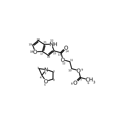 C1CN2CC2O1.CC(=O)OCCOC(=O)c1cc2occc2[nH]1